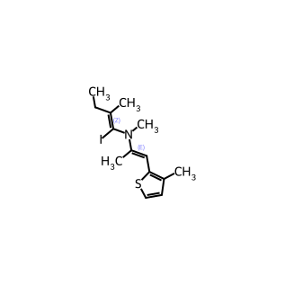 CC/C(C)=C(\I)N(C)/C(C)=C/c1sccc1C